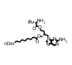 CCCCCCCCCCCCCCCCCC(=O)OC[C@H](CCOC(=O)[C@@H](N)C(C)CC)Cn1cnc2cnc(N)nc21